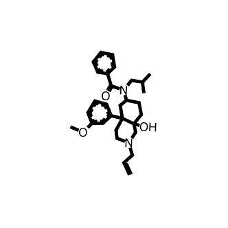 C=CCN1CCC2(c3cccc(OC)c3)CC(N(CC(C)C)C(=O)c3ccccc3)CCC2(O)C1